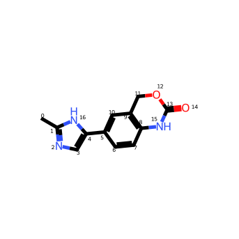 Cc1ncc(-c2ccc3c(c2)COC(=O)N3)[nH]1